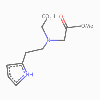 COC(=O)CN(CCc1ccc[nH]1)CC(=O)O